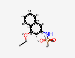 CCOc1cc(NS(C)(=O)=O)cc2c[c]ccc12